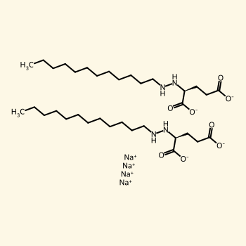 CCCCCCCCCCCCNN[C@@H](CCC(=O)[O-])C(=O)[O-].CCCCCCCCCCCCNN[C@@H](CCC(=O)[O-])C(=O)[O-].[Na+].[Na+].[Na+].[Na+]